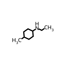 CCNC1CCC(C)CC1